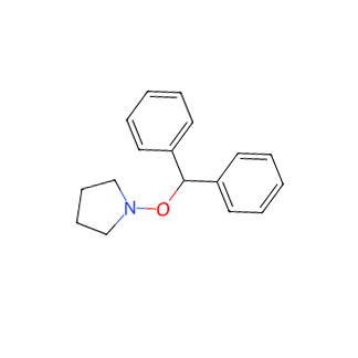 c1ccc(C(ON2CCCC2)c2ccccc2)cc1